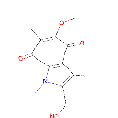 COC1=C(C)C(=O)c2c(c(C)c(CO)n2C)C1=O